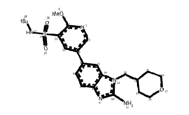 COc1ncc(-c2ccc3nc(N)n(CC4CCOCC4)c3c2)cc1S(=O)(=O)NC(C)(C)C